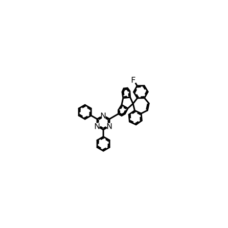 Fc1ccc2c(c1)C1(c3ccccc3C=C2)c2ccccc2-c2cc(-c3nc(-c4ccccc4)nc(-c4ccccc4)n3)ccc21